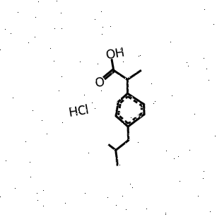 CC(C)Cc1ccc(C(C)C(=O)O)cc1.Cl